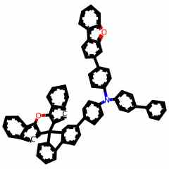 c1ccc(-c2ccc(N(c3ccc(-c4ccc5c(c4)C4(c6ccccc6-5)c5ccc6ccccc6c5Oc5c4ccc4ccccc54)cc3)c3ccc(-c4ccc5c(c4)oc4ccccc45)cc3)cc2)cc1